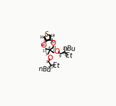 CCCCC(CC)COCC1(COCC(CC)CCCC)COc2cscc2OC1